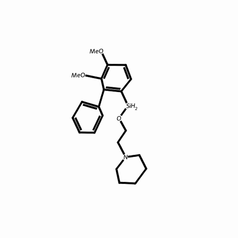 COc1ccc([SiH2]OCCN2CCCCC2)c(-c2ccccc2)c1OC